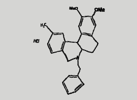 COc1cc2c(cc1OC)C1c3cc(C)ccc3CN(Cc3ccccc3)C1CC2.Cl